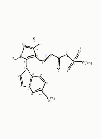 CCCCCS(=O)(=O)[N-]C(=O)/C=C/c1c(C)nn(C)c1-n1ccc2cc(OC)ccc21.[K+]